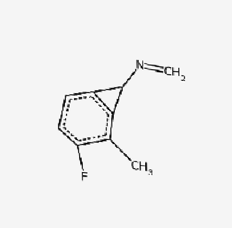 C=NC1c2ccc(F)c(C)c21